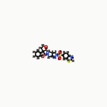 O=C(N1Cc2cn(S(=O)(=O)c3ccc4ncsc4c3)nc2C1)[C@@]1(c2ccccc2)CCOC1